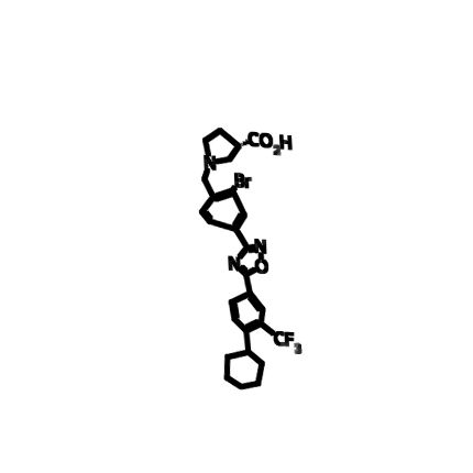 O=C(O)[C@H]1CCN(Cc2ccc(-c3noc(-c4ccc(C5CCCCC5)c(C(F)(F)F)c4)n3)cc2Br)C1